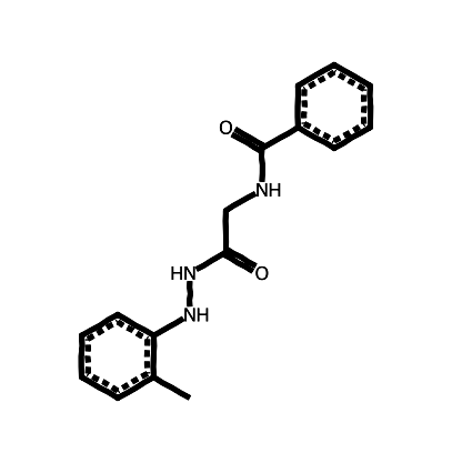 Cc1ccccc1NNC(=O)CNC(=O)c1ccccc1